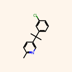 Cc1ccc(C(C)(C)c2cccc(Cl)c2)cn1